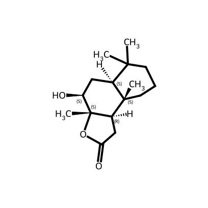 CC1(C)CCC[C@]2(C)[C@H]3CC(=O)O[C@]3(C)[C@@H](O)C[C@@H]12